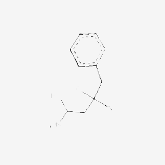 NC(O)CC(N)(O)Cc1ccccc1